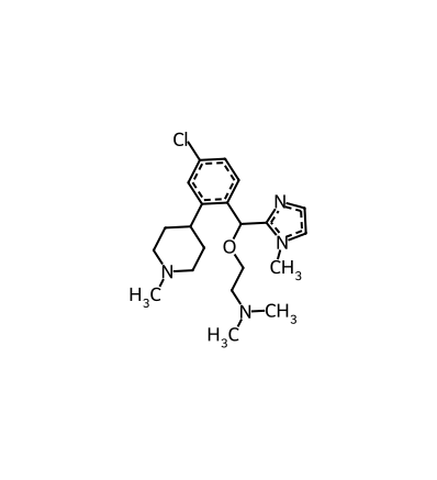 CN(C)CCOC(c1ccc(Cl)cc1C1CCN(C)CC1)c1nccn1C